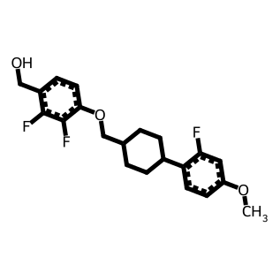 COc1ccc(C2CCC(COc3ccc(CO)c(F)c3F)CC2)c(F)c1